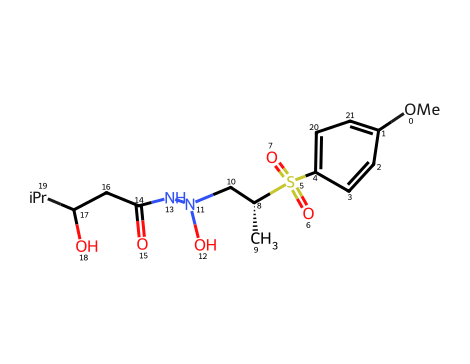 COc1ccc(S(=O)(=O)[C@H](C)CN(O)NC(=O)CC(O)C(C)C)cc1